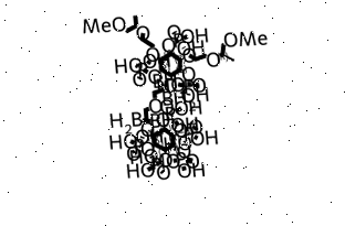 BC(B)(COCC(B)(B)O[C@H]1[C@@H](OP(=O)(O)O)[C@H](OP(=O)(O)O)[C@@H](OP(=O)(O)O)[C@H](OP(=O)(O)O)[C@H]1OP(=O)(O)O)O[C@@H]1[C@H](OP(=O)(O)O)[C@@H](OCCOC(C)COC)[C@H](OP(=O)(O)O)[C@@H](OCCO[C@H](C)COC)[C@@H]1OP(=O)(O)O